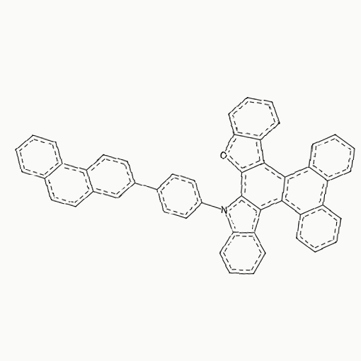 c1ccc2c(c1)ccc1cc(-c3ccc(-n4c5ccccc5c5c6c7ccccc7c7ccccc7c6c6c7ccccc7oc6c54)cc3)ccc12